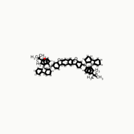 CC(C)(C)c1cccc(-n2c3ccccc3c3cccc(N(c4ccccc4)c4ccc5c(c4)oc4cc6cc7oc8cc(N(c9ccccc9)c9cccc%10c%11ccccc%11n(-c%11cccc(C(C)(C)C)c%11)c9%10)ccc8c7cc6cc45)c32)c1